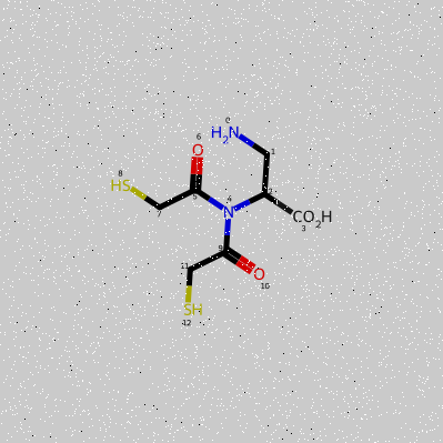 NCC(C(=O)O)N(C(=O)CS)C(=O)CS